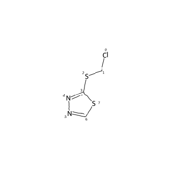 ClCSc1nncs1